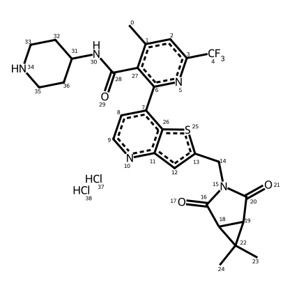 Cc1cc(C(F)(F)F)nc(-c2ccnc3cc(CN4C(=O)C5C(C4=O)C5(C)C)sc23)c1C(=O)NC1CCNCC1.Cl.Cl